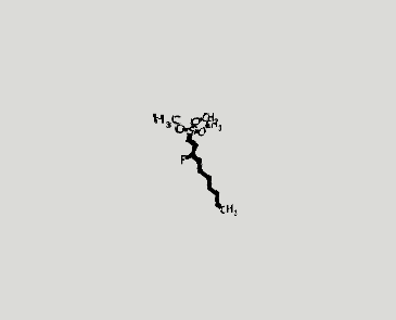 CCCCCCCC(F)CC[Si](OC)(OC)OC